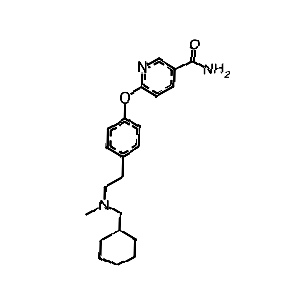 CN(CCc1ccc(Oc2ccc(C(N)=O)cn2)cc1)CC1CCCCC1